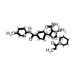 C=CC(=O)N1CCCC[C@H]1c1nc(-c2ccc(C(=O)Nc3ccc(C)cn3)cc2)c(C(N)=O)n1N